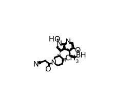 C[C@@H]1CCN(C(=O)CC#N)C[C@@H]1c1cn(O)c2ncc3c(c12)C=CBO3